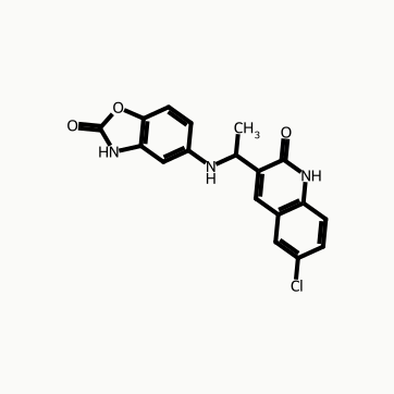 CC(Nc1ccc2oc(=O)[nH]c2c1)c1cc2cc(Cl)ccc2[nH]c1=O